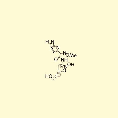 CON=C(C(=O)N[C@H]1CC[C@@H](CC(=O)O)OB1O)c1csc(N)n1